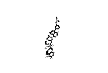 CC(CN1CCN(S(=O)(=O)c2ccc3[nH]c(=O)cnc3c2)CC1)Nc1ncnc2c(-c3cccc(CN(C)C)c3)cccc12